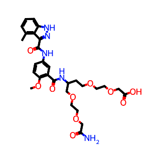 COc1ccc(NC(=O)c2n[nH]c3cccc(C)c23)cc1C(=O)NC(CCOCCOCC(=O)O)COCCOCC(N)=O